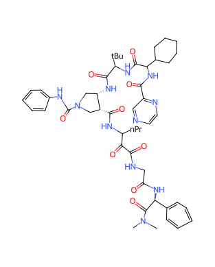 CCCC(NC(=O)[C@@H]1CN(C(=O)Nc2ccccc2)C[C@@H]1NC(=O)C(NC(=O)C(NC(=O)c1cnccn1)C1CCCCC1)C(C)(C)C)C(=O)C(=O)NCC(=O)N[C@H](C(=O)N(C)C)c1ccccc1